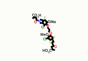 COc1c(F)c2c(c(Cl)c1OCCCOc1c(OC)c(Cl)c3sc(C(=O)C[C@H](C)C(=O)O)cc3c1F)CN(C(=O)C[C@H](C)C(=O)O)C2